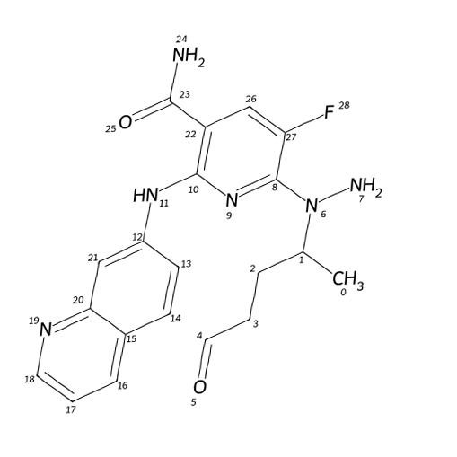 CC(CCC=O)N(N)c1nc(Nc2ccc3cccnc3c2)c(C(N)=O)cc1F